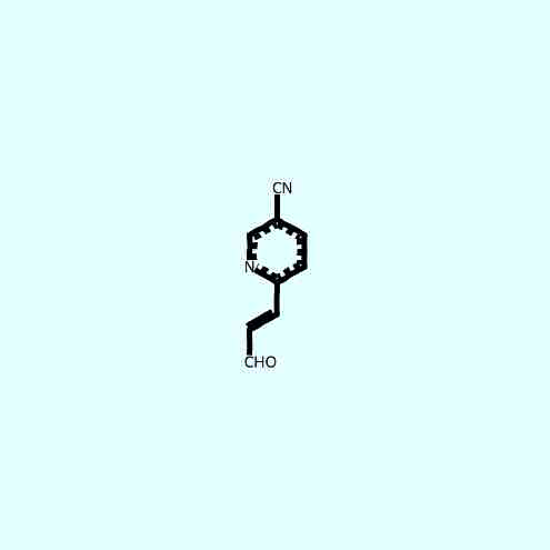 N#Cc1ccc(/C=C/C=O)nc1